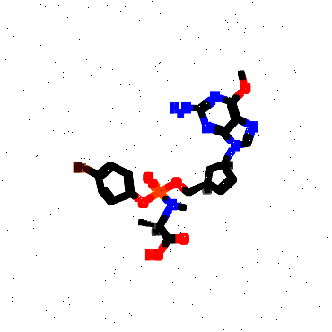 COc1nc(N)nc2c1ncn2[C@H]1C=C[C@@H](COP(=O)(Oc2ccc(Br)cc2)N(C)[C@@H](C)C(=O)O)C1